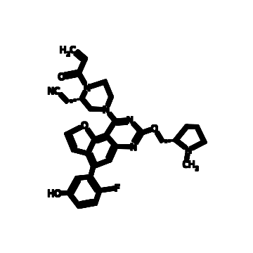 C=CC(=O)N1CCN(c2nc(OC[C@@H]3CCCN3C)nc3cc(-c4cc(O)ccc4F)c4ccoc4c23)C[C@@H]1CC#N